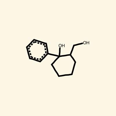 OCC1CCCCC1(O)c1ccccc1